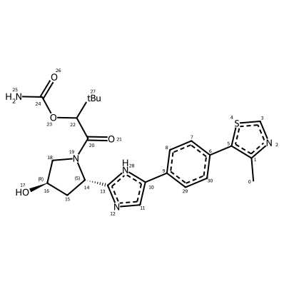 Cc1ncsc1-c1ccc(-c2cnc([C@@H]3C[C@@H](O)CN3C(=O)C(OC(N)=O)C(C)(C)C)[nH]2)cc1